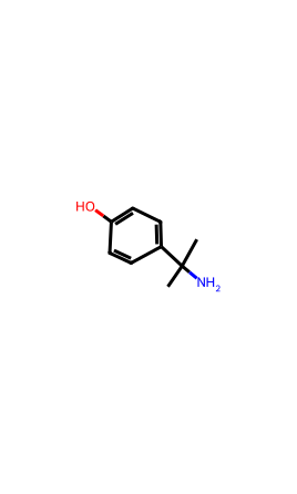 CC(C)(N)c1ccc(O)cc1